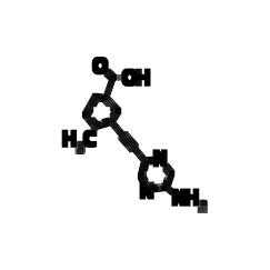 Cc1ccc(C(=O)O)cc1C#Cc1cnc(N)cn1